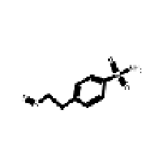 NS(=O)(=O)c1ccc(CCN=S)cc1